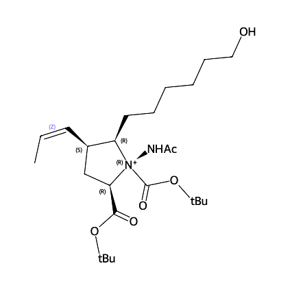 C/C=C\[C@@H]1C[C@H](C(=O)OC(C)(C)C)[N@@+](NC(C)=O)(C(=O)OC(C)(C)C)[C@@H]1CCCCCCO